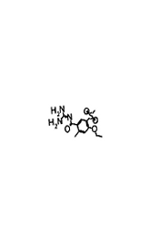 CCOc1cc(C)c(C(=O)N=C(N)N)cc1S(C)(=O)=O